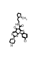 CN1CCCC1CCNC(=O)c1c(=O)c2cnc(N3CCNCC3)nc2n2c1sc1ccc(Cl)cc12